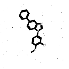 COc1ccc(-n2cnc3cc(-c4ccccc4)ccc32)cc1Cl